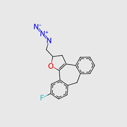 [N-]=[N+]=NCC1CC2=C(O1)c1cc(F)ccc1Cc1ccccc12